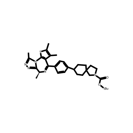 Cc1sc2c(c1C)C(c1ccc(C3CCC4(CC3)CCN(C(=O)OC(C)(C)C)C4)cc1)=N[C@@H](C)c1nnc(C)n1-2